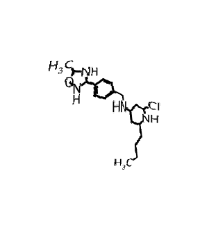 CCCCC1CC(NCc2ccc(C3NOC(C)N3)cc2)CC(Cl)N1